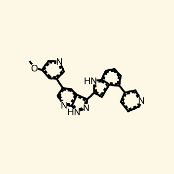 COc1cncc(-c2cnc3[nH]nc(-c4cc5c(-c6cccnc6)cccc5[nH]4)c3c2)c1